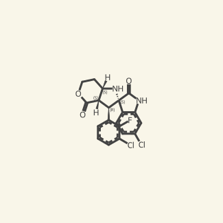 O=C1OCC[C@@H]2N[C@@]3(C(=O)Nc4cc(Cl)ccc43)[C@@H](c3cccc(Cl)c3F)[C@H]12